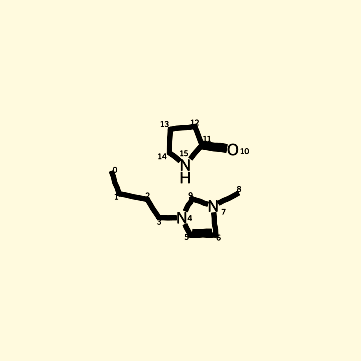 CCCCN1C=CN(C)C1.O=C1CCCN1